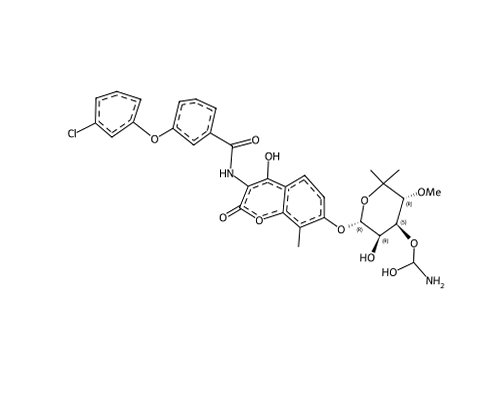 CO[C@@H]1[C@@H](OC(N)O)[C@@H](O)[C@H](Oc2ccc3c(O)c(NC(=O)c4cccc(Oc5cccc(Cl)c5)c4)c(=O)oc3c2C)OC1(C)C